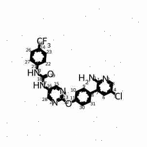 Nc1ncc(Cl)cc1-c1ccc(Oc2ncc(NC(=O)Nc3ccc(C(F)(F)F)cc3)cn2)cc1